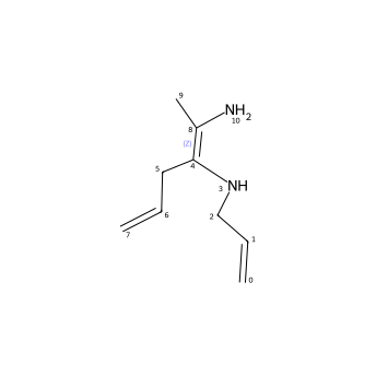 C=CCN/C(CC=C)=C(/C)N